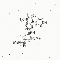 CCC1C(=O)N(C)c2cnc(Nc3ccc(C(=O)NC)cc3OC)nc2N1C1CCNCC1